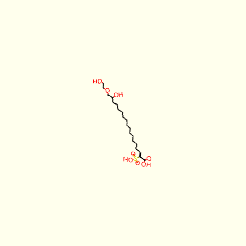 O=C(O)C(CCCCCCCCCCCCCCC(O)COCCO)S(=O)(=O)O